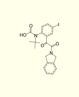 CC(C)(C)N(C(=O)O)c1ccc(I)cc1C(=O)C(=O)N1Cc2ccccc2C1